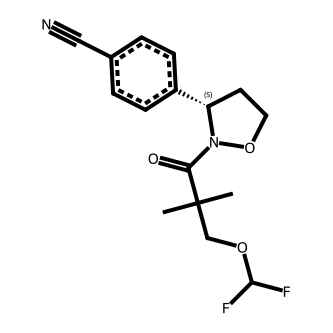 CC(C)(COC(F)F)C(=O)N1OCC[C@H]1c1ccc(C#N)cc1